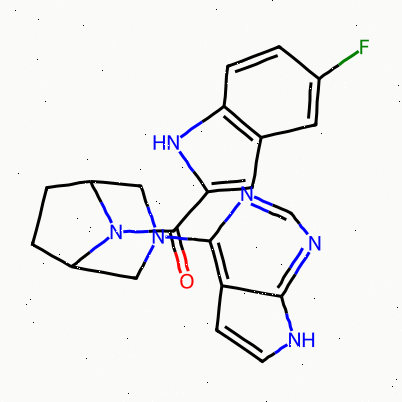 O=C(c1cc2cc(F)ccc2[nH]1)N1C2CCC1CN(c1ncnc3[nH]ccc13)C2